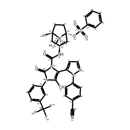 Cc1c(-c2ccnn2-c2ccc(C#N)cc2)n(C(=O)N[C@H]2C[C@@H]3CC[C@@](OS(=O)(=O)c4ccccc4)(C2)[N+]3(C)C)c(=O)n1-c1cccc(C(F)(F)F)c1